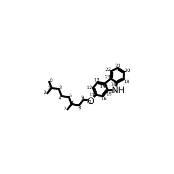 CC(C)CCCC(C)CCOc1ccc2c(c1)[nH]c1ccccc12